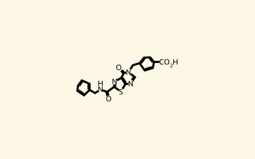 O=C(O)c1ccc(Cn2cnc3sc(C(=O)NCc4ccccc4)nc3c2=O)cc1